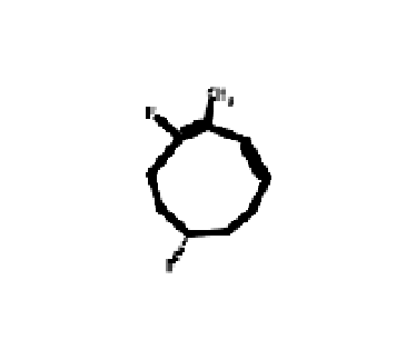 CC1=C(\F)CC[C@@H](F)CC/C=C\1